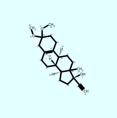 C#C[C@]1(O)CC[C@H]2[C@@H]3CCC4=C(CCC(OC)(OC)C4)[C@H]3CCC21C